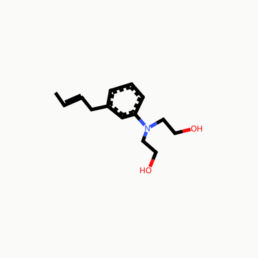 CC=CCc1cccc(N(CCO)CCO)c1